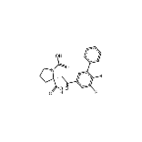 O=C(C[C@]1(C(=O)O)CCCN1C(=O)O)c1cc(F)c(I)c(-c2ccccc2)c1